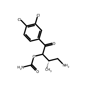 C[C@@H](CN)C(OC(N)=O)C(=O)c1ccc(Cl)c(Cl)c1